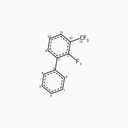 Fc1c(-c2ccccc2)cccc1C(F)(F)F